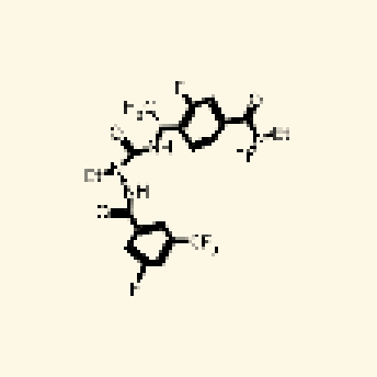 CCN(CC)C(=O)c1ccc([C@@H](C)NC(=O)N(CC)NC(=O)c2cc(F)cc(C(F)(F)F)c2)c(F)c1